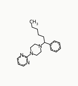 CCCCCC(c1ccccc1)N1CCN(c2ncccn2)CC1